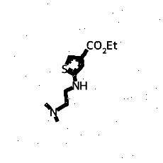 CCOC(=O)c1csc(NCCN(C)C)c1